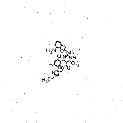 CCn1cc(CNC(=O)C2=C(C)NC(Nc3nc4cccc(N)c4o3)=NC2c2ccc(F)cc2Cl)cn1